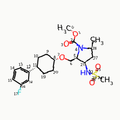 COC(=O)N1[C@H](CO[C@H]2CC[C@@H](c3cccc(F)c3)CC2)[C@H](NS(C)(=O)=O)C[C@@H]1C